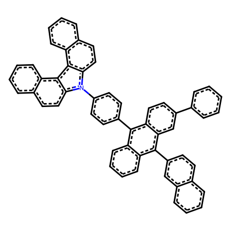 c1ccc(-c2ccc3c(-c4ccc(-n5c6ccc7ccccc7c6c6c7ccccc7ccc65)cc4)c4ccccc4c(-c4ccc5ccccc5c4)c3c2)cc1